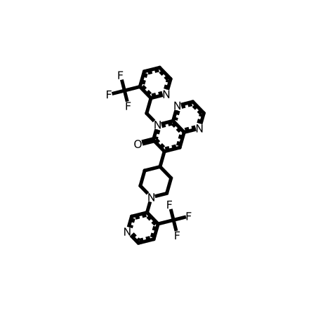 O=c1c(C2CCN(c3cnccc3C(F)(F)F)CC2)cc2nccnc2n1Cc1ncccc1C(F)(F)F